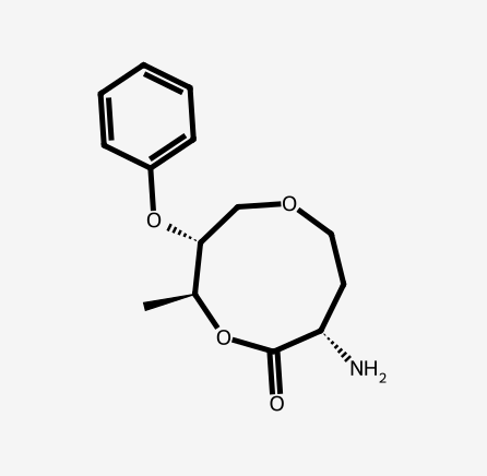 C[C@@H]1OC(=O)[C@@H](N)CCOC[C@H]1Oc1ccccc1